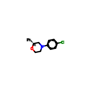 CC(C)[C@@H]1CN(c2ccc(Cl)cc2)CCO1